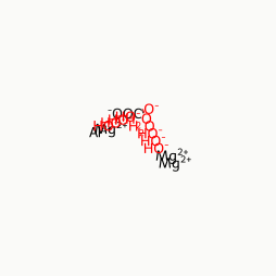 O.O.O=C([O-])[O-].[Al+3].[Mg+2].[Mg+2].[Mg+2].[OH-].[OH-].[OH-].[OH-].[OH-].[OH-].[OH-]